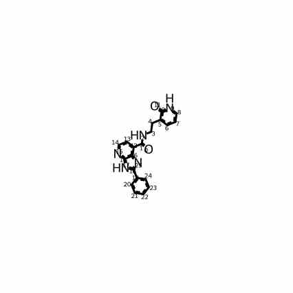 O=C(NCCc1ccc[nH]c1=O)c1ccnc2[nH]c(-c3ccccc3)nc12